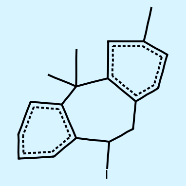 Cc1ccc2c(c1)C(C)(C)c1ccccc1C(I)C2